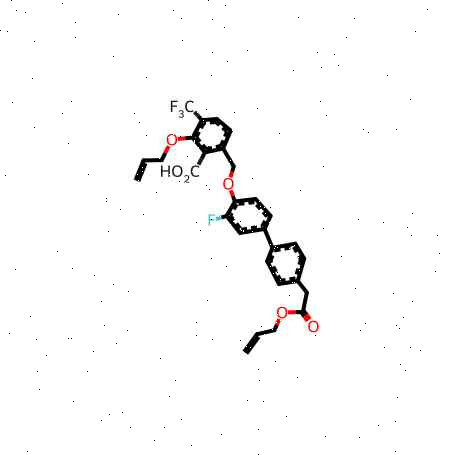 C=CCOC(=O)Cc1ccc(-c2ccc(OCc3ccc(C(F)(F)F)c(OCC=C)c3C(=O)O)c(F)c2)cc1